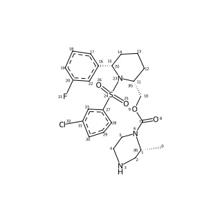 C[C@@H]1CNCCN1C(=O)OC[C@H]1CCC[C@@H](c2cccc(F)c2)N1S(=O)(=O)c1cccc(Cl)c1